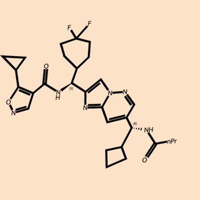 CCCC(=O)N[C@@H](c1cnn2cc([C@@H](NC(=O)c3cnoc3C3CC3)C3CCC(F)(F)CC3)nc2c1)C1CCC1